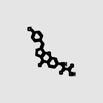 O=C(O)C(=O)Nc1ccc2c(=O)c3c(oc2c1)C(=Cc1ccc(Cl)cc1)CC3